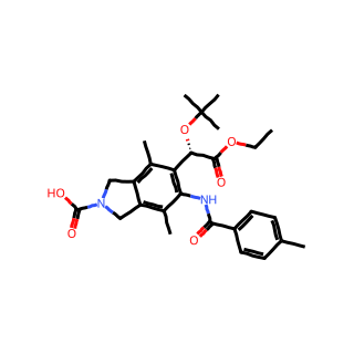 CCOC(=O)[C@@H](OC(C)(C)C)c1c(C)c2c(c(C)c1NC(=O)c1ccc(C)cc1)CN(C(=O)O)C2